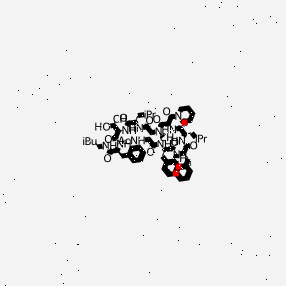 CC[C@H](C)CNC(=O)[C@H](Cc1ccccc1)NC(=O)[C@@H](NC(=O)[C@H](CC(C)C)NC(=O)CN(C)C(=O)[C@H](NC(=O)[C@H](CC(C)C)NC(=O)[C@H](Cc1ccccc1)N(C)C(=O)[C@H](Cc1ccccc1)NC(=O)CNC(C)=O)C(=O)N1CCCCC1)[C@@H](C)O